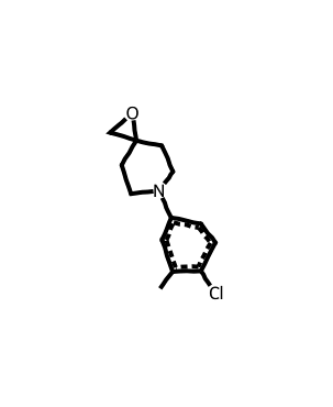 Cc1cc(N2CCC3(CC2)CO3)ccc1Cl